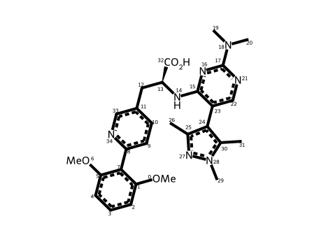 COc1cccc(OC)c1-c1ccc(C[C@H](Nc2nc(N(C)C)ncc2-c2c(C)nn(C)c2C)C(=O)O)cn1